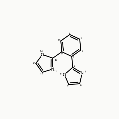 c1ccc(-c2ncco2)c(-c2ncco2)c1